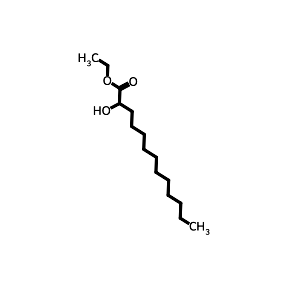 CCCCCCCCCCCC(O)C(=O)OCC